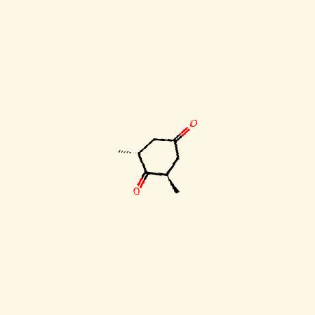 C[C@@H]1CC(=O)C[C@@H](C)C1=O